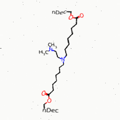 CCCCCCCCCCCOC(=O)CCCCCCCN(CCCCCCCC(=O)OCCCCCCCCCCC)CCN(C)C